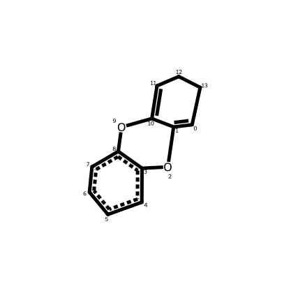 C1=C2Oc3ccccc3OC2=CCC1